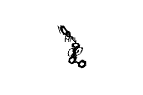 O=S(=O)(c1ccc(CNCc2cc3ccncc3o2)cc1)c1cccc(-c2ccccc2)c1